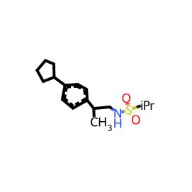 CC(CNS(=O)(=O)C(C)C)c1ccc(C2CCCC2)cc1